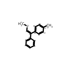 CSC=C(c1ccccc1)c1ccc(C)cc1